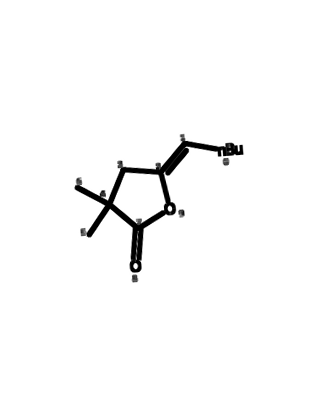 CCCCC=C1CC(C)(C)C(=O)O1